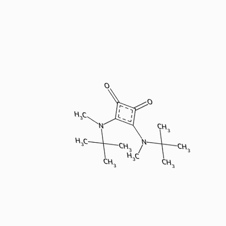 CN(c1c(N(C)C(C)(C)C)c(=O)c1=O)C(C)(C)C